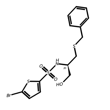 O=S(=O)(N[C@H](CO)CSCc1ccccc1)c1ccc(Br)s1